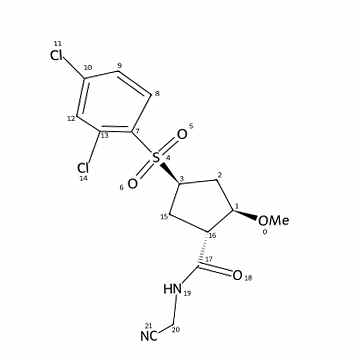 CO[C@@H]1C[C@H](S(=O)(=O)c2ccc(Cl)cc2Cl)C[C@H]1C(=O)NCC#N